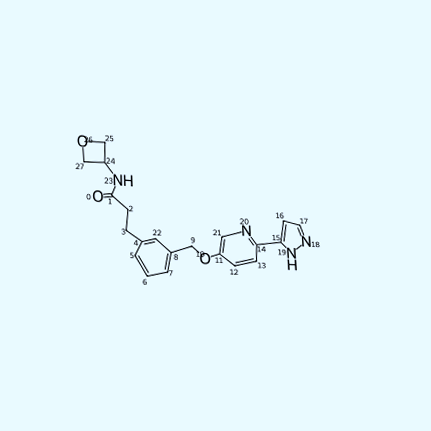 O=C(CCc1cccc(COc2ccc(-c3ccn[nH]3)nc2)c1)NC1COC1